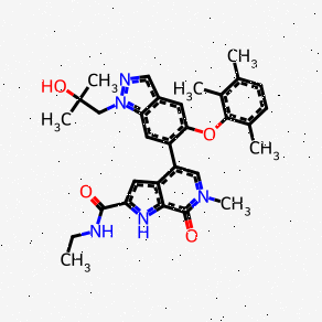 CCNC(=O)c1cc2c(-c3cc4c(cnn4CC(C)(C)O)cc3Oc3c(C)ccc(C)c3C)cn(C)c(=O)c2[nH]1